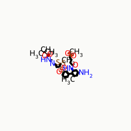 CSc1sc(/N=C/NC(=O)OC(C)(C)C)cc1S(=O)(=O)c1cccc(-c2c(C)cc(N)cc2NC(=O)CCCS(C)(=O)=O)c1